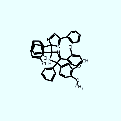 COc1ccc(C2(c3ccccc3)NC(c3ccccc3Cl)(C3(c4ccccc4Cl)N=CC(c4ccccc4)=N3)N=C2c2ccccc2Cl)cc1OC